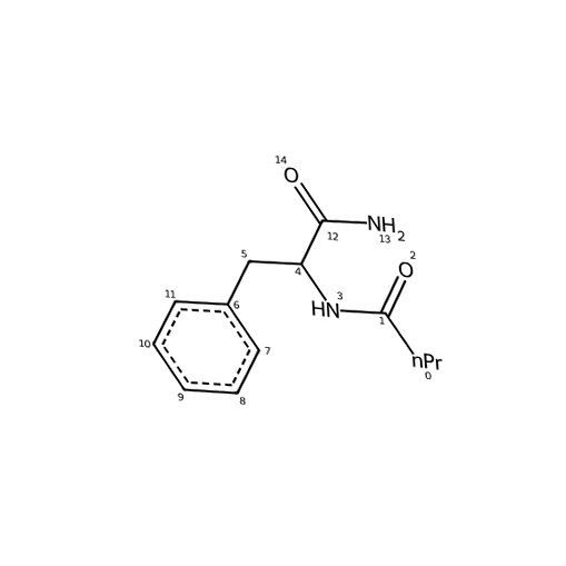 CCCC(=O)NC(Cc1ccccc1)C(N)=O